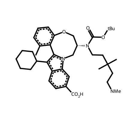 CNCCC(C)(C)CCN(C(=O)OC(C)(C)C)[C@H]1COc2cccc(C)c2-c2c(C3CCCCC3)c3ccc(C(=O)O)cc3n2C1